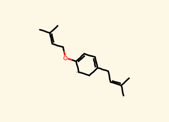 CC(C)=CCOC1=CC=C(CC=C(C)C)C[CH]1